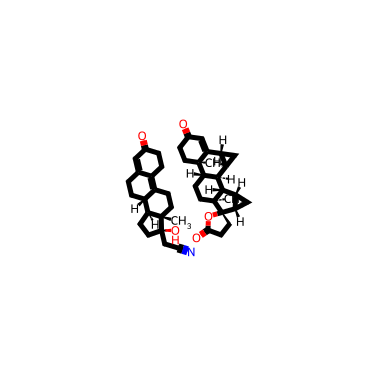 C[C@]12CCC(=O)C=C1[C@@H]1C[C@@H]1[C@H]1[C@@H]3[C@@H]4C[C@@H]4[C@@]4(CCC(=O)O4)[C@@]3(C)CC[C@@H]12.C[C@]12CCC3=C4CCC(=O)C=C4CC[C@H]3[C@@H]1CC[C@@]2(O)CC#N